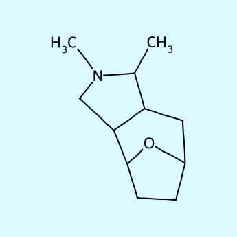 CC1C2CC3CCC(O3)C2CN1C